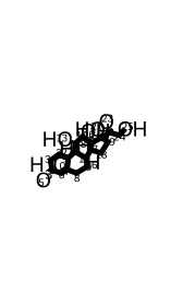 C[C@]12CCC(=O)C=C1CC[C@@H]1[C@H]2[C@@H](O)C[C@@]2(O)[C@@H]1CCC2(O)C(=O)CO